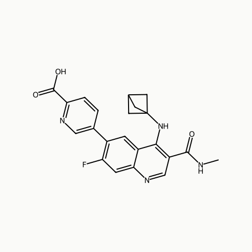 CNC(=O)c1cnc2cc(F)c(-c3ccc(C(=O)O)nc3)cc2c1NC12CC(C1)C2